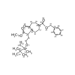 COC(=O)C(CCO[Si](C)(C)C(C)(C)C)N1CCN(C(=O)OCc2ccccc2)CCC1=O